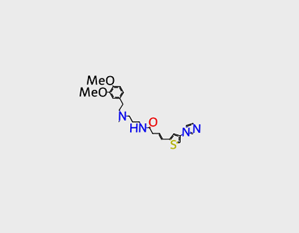 COc1ccc(CCN(C)CCCNC(=O)C/C=C/c2cc(-n3ccnc3)cs2)cc1OC